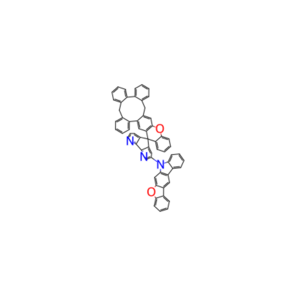 c1ccc2c(c1)Cc1ccccc1-c1cc3c(cc1Cc1ccccc1-2)Oc1ccccc1C31c2cccnc2-c2ncc(-n3c4ccccc4c4cc5c(cc43)oc3ccccc35)cc21